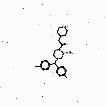 CCCC[C@H]1CN(C(c2ccc(Cl)cc2)c2ccc(Cl)cc2)CCN1C(=O)CC1CCNCC1